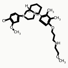 COCCNCCCOc1ccc([C@H]2CCC[C@H]3CN(c4ccc(Cl)c(OC)c4)CCN32)c(C)c1C